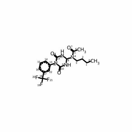 CCCCN(C(C)=O)C1NC(=O)N(c2cccc(C(F)(F)F)c2)C(=O)N1